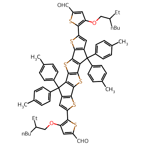 CCCCC(CC)COc1cc(C=O)sc1-c1cc2c(s1)-c1sc3c4c(sc3c1C2(c1ccc(C)cc1)c1ccc(C)cc1)-c1sc(-c2sc(C=O)cc2OCC(CC)CCCC)cc1C4(c1ccc(C)cc1)c1ccc(C)cc1